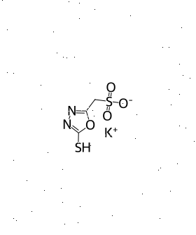 O=S(=O)([O-])Cc1nnc(S)o1.[K+]